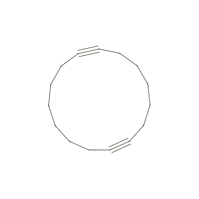 C1#CCCCCCCC#CCCCCC1